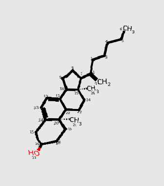 C=C(CCCCC)C1CCC2C3=CC=C4CC(O)CC[C@]4(C)C3CC[C@]12C